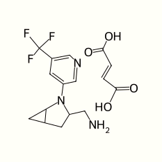 NCC1CC2CC2N1c1cncc(C(F)(F)F)c1.O=C(O)/C=C/C(=O)O